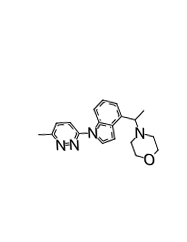 Cc1ccc(-n2ccc3c(C(C)N4CCOCC4)cccc32)nn1